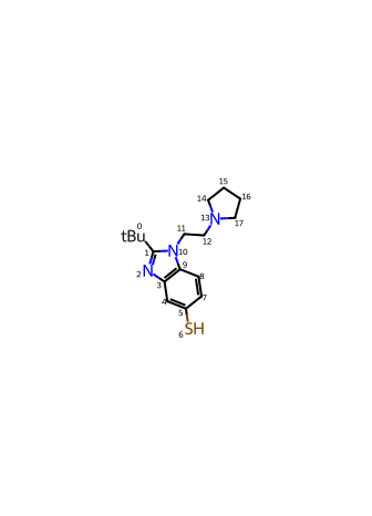 CC(C)(C)c1nc2cc(S)ccc2n1CCN1CCCC1